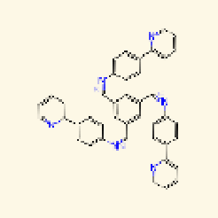 C(=N/c1ccc(-c2ccccn2)cc1)/c1cc(/C=N\c2ccc(-c3ccccn3)cc2)cc(/C=N\c2ccc(-c3ccccn3)cc2)c1